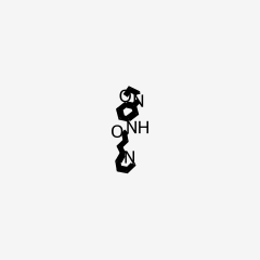 O=C(CCc1ccccn1)Nc1ccc2c(c1)N=CCO2